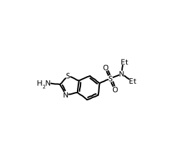 CCN(CC)S(=O)(=O)c1ccc2nc(N)sc2c1